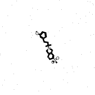 COc1cccc(CCC(C)(C)N2CC3=C(CCC(S(C)(=O)=O)=C3)C2)c1